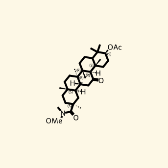 CON(C)C(=O)[C@@]1(C)CC[C@]2(C)CC[C@]3(C)[C@H](CC(=O)[C@@H]4[C@@]5(C)CC[C@H](OC(C)=O)C(C)(C)C5CC[C@]43C)[C@H]2C1